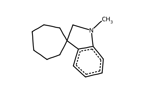 CN1CC2(CCCCCC2)c2ccccc21